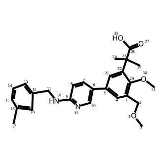 COCc1cc(-c2ccc(NCc3cccc(C)c3)nc2)cc(C(C)(C)C(=O)O)c1OC